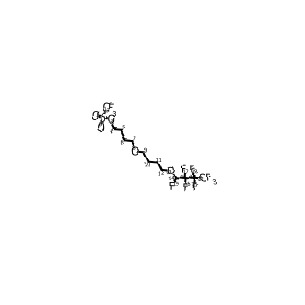 O=S(=O)(OCCCCOCCCCOC(F)C(F)(F)C(F)(F)C(F)(F)F)C(F)(F)F